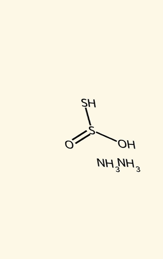 N.N.O=S(O)S